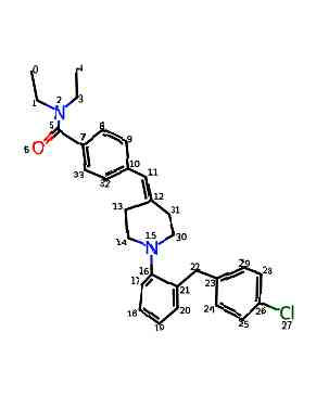 CCN(CC)C(=O)c1ccc(C=C2CCN(c3ccccc3Cc3ccc(Cl)cc3)CC2)cc1